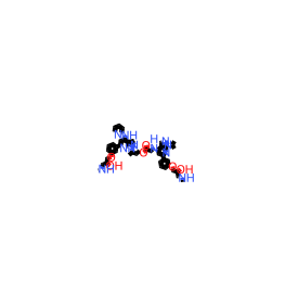 CNCC(O)COc1cccc(-c2cc(NCC(=O)OCCC(C)n3ncc4c(Nc5ccccn5)cc(-c5cccc(OCC(O)CNC)c5)nc43)c3cnn(C(C)C)c3n2)c1